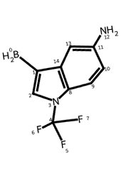 Bc1cn(C(F)(F)F)c2ccc(N)cc12